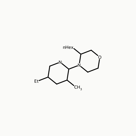 CCCCCCC1COCCN1C1[N]CC(CC)CC1C